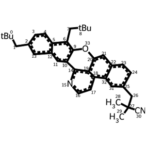 CC(C)(C)Cc1ccc2c(CC(C)(C)C)c3c(cc2c1)-c1nccc2c1c(cc1ccc(CC(C)(C)C#N)cc12)O3